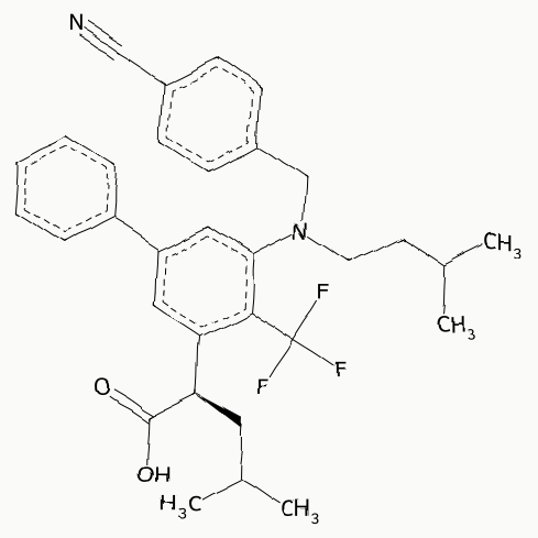 CC(C)CCN(Cc1ccc(C#N)cc1)c1cc(-c2ccccc2)cc([C@@H](CC(C)C)C(=O)O)c1C(F)(F)F